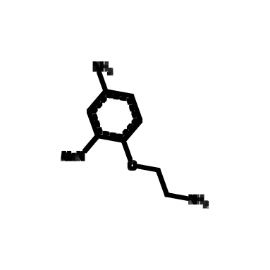 CNc1cc(N)ccc1OCCN